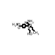 CCCCc1nc2c(N)nc3cc(C(=O)OC)ccc3c2n1CCCO